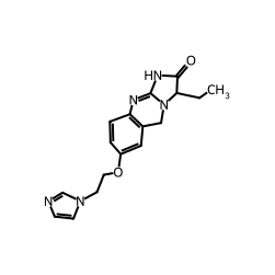 CCC1C(=O)NC2=Nc3ccc(OCCn4ccnc4)cc3CN21